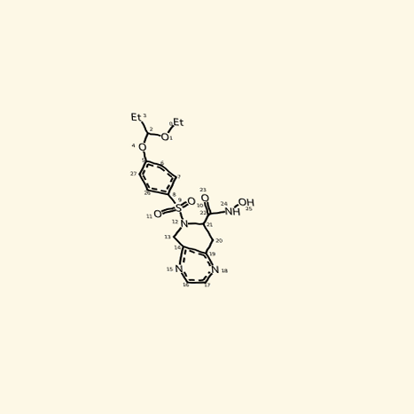 CCOC(CC)Oc1ccc(S(=O)(=O)N2Cc3nccnc3CC2C(=O)NO)cc1